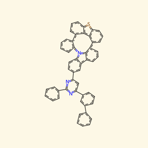 c1ccc(-c2cccc(-c3cc(-c4ccc5c(c4)c4cccc6c7cccc8sc9cccc(c%10ccccc%10n5c64)c9c87)nc(-c4ccccc4)n3)c2)cc1